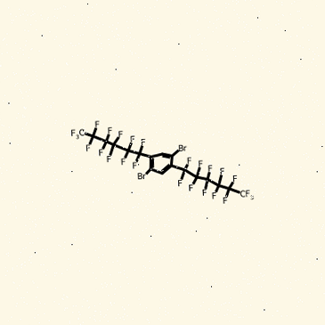 FC(F)(F)C(F)(F)C(F)(F)C(F)(F)C(F)(F)C(F)(F)c1cc(Br)c(C(F)(F)C(F)(F)C(F)(F)C(F)(F)C(F)(F)C(F)(F)F)cc1Br